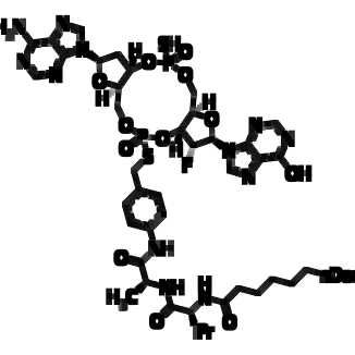 CCCCCCCCCCCCCCCC(=O)N[C@H](C(=O)N[C@@H](C)C(=O)Nc1ccc(CSP2(=O)OC[C@H]3O[C@@H](n4cnc5c(N)ncnc54)C[C@@H]3OP(=O)(S)OC[C@H]3O[C@@H](n4cnc5c(O)ncnc54)[C@H](F)[C@@H]3O2)cc1)C(C)C